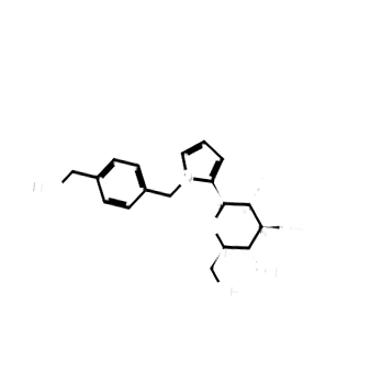 CCc1ccc(Cn2cccc2[C@@H]2O[C@H](CO)[C@@H](O)[C@H](O)[C@H]2O)cc1